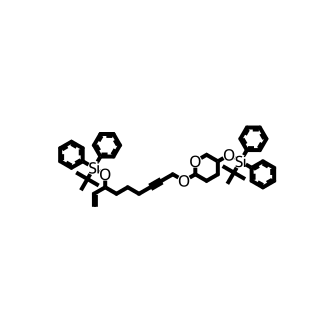 C=CC(CCCC#CCOC1CCC(O[Si](c2ccccc2)(c2ccccc2)C(C)(C)C)CO1)O[Si](c1ccccc1)(c1ccccc1)C(C)(C)C